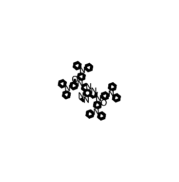 c1ccc(N(c2ccccc2)c2ccc3c(c2)Oc2cc(N(c4ccccc4)c4ccccc4)ccc2N3c2cnc3c(c2)c2nccnc2c2cc(N4c5ccc(N(c6ccccc6)c6ccccc6)cc5Oc5cc(N(c6ccccc6)c6ccccc6)ccc54)cnc23)cc1